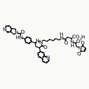 O=C(CC(NC(=O)CN1C(=O)C=CC1=O)C(=O)O)NCCCCCCN1N=C(c2ccc(NC(=O)N3Cc4ccncc4C3)cc2)CC(c2ccc3cccnc3c2)C1=O